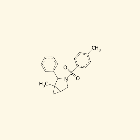 Cc1ccc(S(=O)(=O)N2CC3CC3(C)C2c2ccccc2)cc1